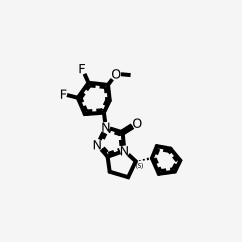 COc1cc(-n2nc3n(c2=O)[C@H](c2ccccc2)CC3)cc(F)c1F